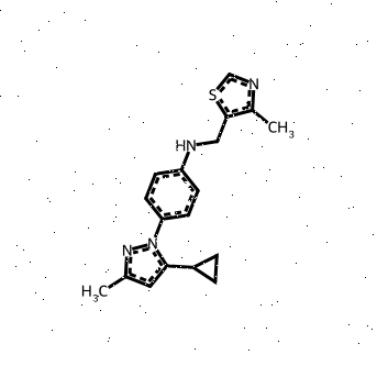 Cc1cc(C2CC2)n(-c2ccc(NCc3scnc3C)cc2)n1